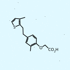 Cc1cc(CCc2sccc2C)ccc1OCC(=O)O